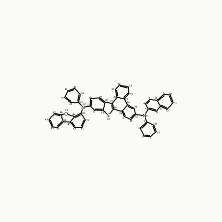 c1ccc(N(c2ccc3ccccc3c2)c2ccc3c(c2)c2ccccc2c2c4ccc(N(c5ccccc5)c5cccc6c5oc5ccccc56)cc4sc32)cc1